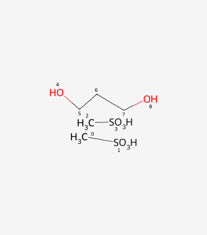 CS(=O)(=O)O.CS(=O)(=O)O.OCCCO